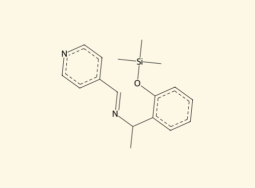 CC(N=Cc1ccncc1)c1ccccc1O[Si](C)(C)C